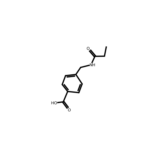 CCC(=O)NCc1ccc(C(=O)O)cc1